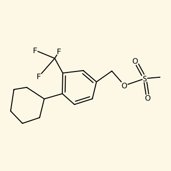 CS(=O)(=O)OCc1ccc(C2CCCCC2)c(C(F)(F)F)c1